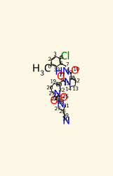 Cc1ccc(Cl)c(CNC(=O)[C@H]2CCCN2C(=O)[C@H]2CCCN(S(=O)(=O)N3CC(C#N)C3)C2)c1